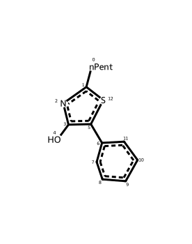 CCCCCc1nc(O)c(-c2ccccc2)s1